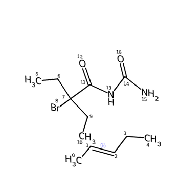 C/C=C/CC.CCC(Br)(CC)C(=O)NC(N)=O